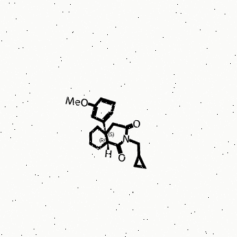 COc1cccc([C@]23CCCC[C@H]2C(=O)N(CC2CC2)C(=O)C3)c1